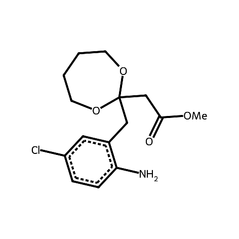 COC(=O)CC1(Cc2cc(Cl)ccc2N)OCCCCO1